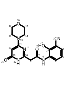 N#Cc1cccc(NC(=O)Cc2nc(N3CCOCC3)cc(=O)[nH]2)c1O